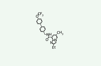 CCc1cn2cc(C)cc(C(=O)NCc3ccc(-c4ccc(OC(F)(F)F)cc4)cc3)c2n1